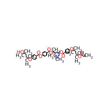 C=CC(=O)OC(C)(C)CCC(C)(C)Oc1ccc(C(=O)O/C(=C/C=C(\C)OC(=O)c2ccc(OC(=O)C3CCC(OC(C)(C)CCC(C)(C)O)CC3)cc2)CN(C)C)cc1